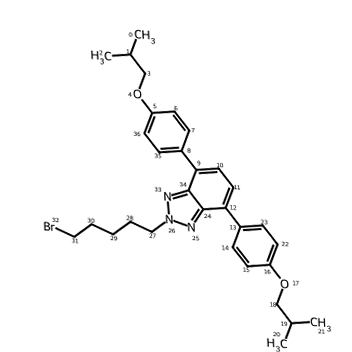 CC(C)COc1ccc(-c2ccc(-c3ccc(OCC(C)C)cc3)c3nn(CCCCCBr)nc23)cc1